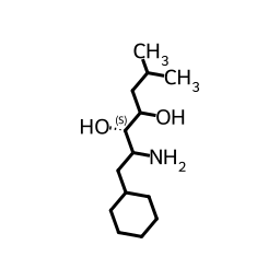 CC(C)CC(O)[C@@H](O)C(N)CC1CCCCC1